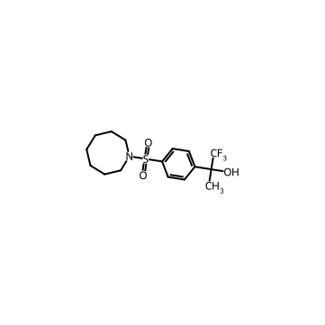 CC(O)(c1ccc(S(=O)(=O)N2CCCCCCC2)cc1)C(F)(F)F